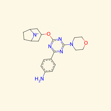 CN1C2CCC1CC(Oc1nc(-c3ccc(N)cc3)nc(N3CCOCC3)n1)C2